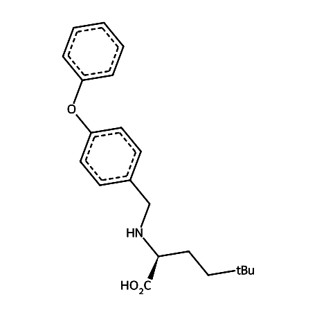 CC(C)(C)CC[C@H](NCc1ccc(Oc2ccccc2)cc1)C(=O)O